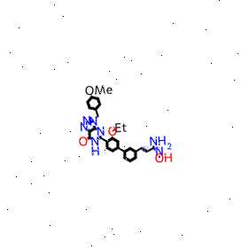 CCOc1cc(-c2cccc(/C=C/C(N)=N\O)c2)ccc1-c1nc2c(nnn2Cc2ccc(OC)cc2)c(=O)[nH]1